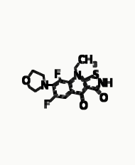 CCn1c2s[nH]c(=O)c2c(=O)c2cc(F)c(N3CCOCC3)c(F)c21